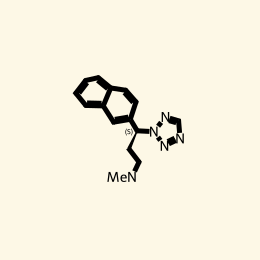 CNCC[C@@H](c1ccc2ccccc2c1)n1ncnn1